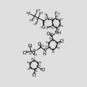 CN(C(=O)C(F)(F)C(F)(F)F)c1c(F)ccc(NC(=O)c2cc(NC(=O)[C@H]3[C@H](c4ccc(Cl)c(Cl)c4)C3(Cl)Cl)ccc2Cl)c1F